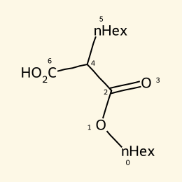 CCCCCCOC(=O)C(CCCCCC)C(=O)O